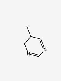 [CH2]C1C=NC=NC1